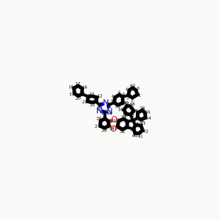 c1ccc(-c2ccc(-c3nc(-c4ccc(-c5ccccc5)cc4)nc(-c4cccc5c4Oc4cc6c(cc4O5)-c4ccccc4C6(c4ccccc4)c4ccccc4)n3)cc2)cc1